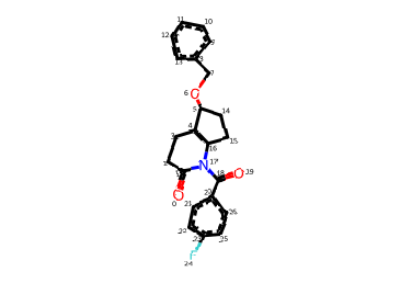 O=C1CCC2C(OCc3ccccc3)CCC2N1C(=O)c1ccc(F)cc1